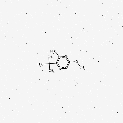 COc1cnc(C(C)(C)C)c(C)n1